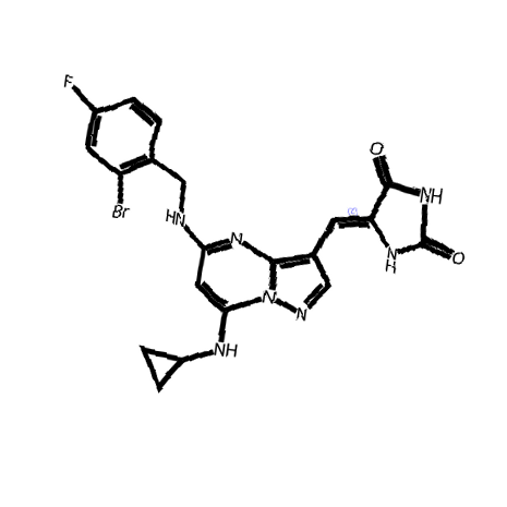 O=C1NC(=O)/C(=C/c2cnn3c(NC4CC4)cc(NCc4ccc(F)cc4Br)nc23)N1